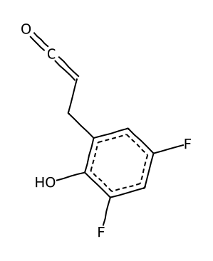 O=C=CCc1cc(F)cc(F)c1O